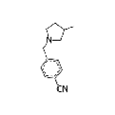 CC1CCN(Cc2ccc(C#N)cc2)C1